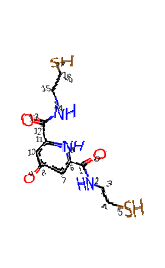 O=C(NCCS)c1cc(=O)cc(C(=O)NCCS)[nH]1